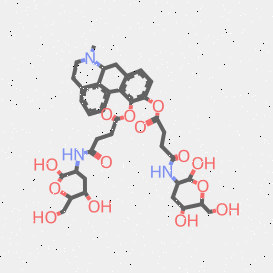 CN1CCc2cccc3c2C1Cc1ccc(OC(=O)CCC(=O)NC2CC(O)C(CO)OC2O)c(OC(=O)CCC(=O)NC2CC(O)C(CO)OC2O)c1-3